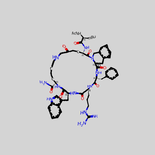 CCCC[C@H](NC(C)=O)C(=O)N[C@H]1CCC(=O)CNCCCC[C@@H](C(N)=O)NC(=O)[C@H](Cc2c[nH]c3ccccc23)NC(=O)[C@H](CCCNC(=N)N)NC(=O)[C@@H](Cc2ccccc2)NC(=O)[C@@H]2Cc3ccccc3CN2C1=O